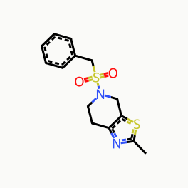 Cc1nc2c(s1)CN(S(=O)(=O)Cc1ccccc1)CC2